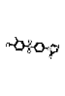 Cc1cc(S(=O)(=O)c2ccc(N3C=NCC3=S)cc2)ccc1Cl